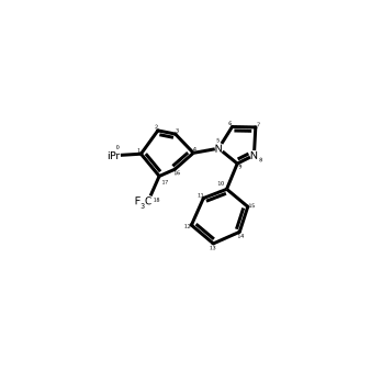 CC(C)c1ccc(-n2ccnc2-c2ccccc2)cc1C(F)(F)F